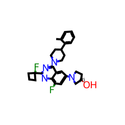 Cc1ccccc1C1CCN(c2nc(C3(F)CCC3)nc3c(F)cc(N4CC[C@@H](O)C4)cc23)CC1